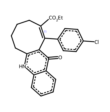 CCOC(=O)/C1=C(\c2ccc(Cl)cc2)c2c([nH]c3ccccc3c2=O)CCCC1